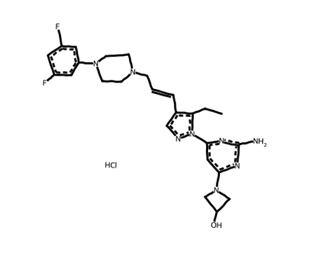 CCc1c(C=CCN2CCN(c3cc(F)cc(F)c3)CC2)cnn1-c1cc(N2CC(O)C2)nc(N)n1.Cl